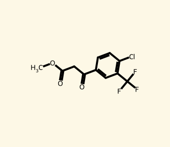 COC(=O)CC(=O)c1ccc(Cl)c(C(F)(F)F)c1